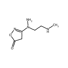 CNCCN(N)C1=NOC(=O)C1